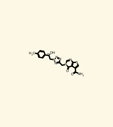 Cc1ccc([C@@H](O)Cn2nnc(Cn3cnc4scc(C(N)=O)c4c3=O)n2)cc1